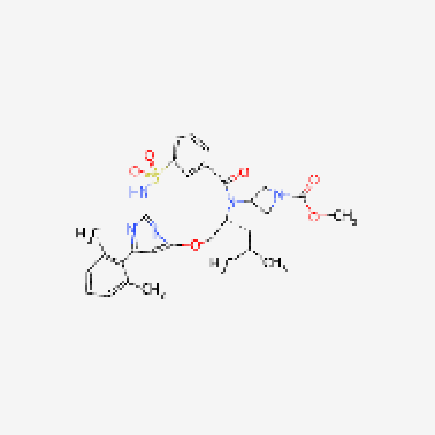 COC(=O)N1CC(N2C(=O)c3cccc(c3)S(=O)(=O)Nc3nc(cc(-c4c(C)cccc4C)n3)OC[C@H]2CC(C)C)C1